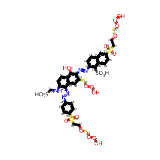 O=S(=O)(O)CNc1ccc2c(O)c(/N=N/c3ccc4cc(S(=O)(=O)CCOSOOO)ccc4c3S(=O)(=O)O)c(SOOO)cc2c1/N=N/c1ccc(S(=O)(=O)CCOSOOO)cc1